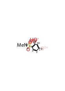 [B+2]c1ccc(S(=O)(=O)NC)cc1.[OH-].[OH-]